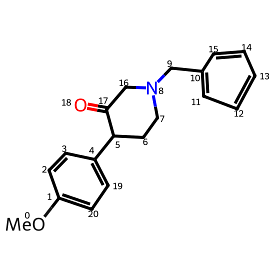 COc1ccc(C2CCN(Cc3ccccc3)CC2=O)cc1